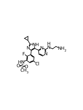 CS(=O)(=O)Nc1cc(Cl)cc(-c2nc(C3CC3)[nH]c2-c2ccnc(NCCN)n2)c1F